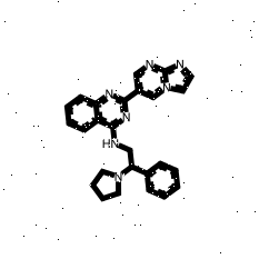 c1ccc(C(CNc2nc(-c3cnc4nccn4c3)nc3ccccc23)N2CCCC2)cc1